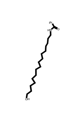 CC(C)C(=O)NCCCCCCCCCCCCCCCCO